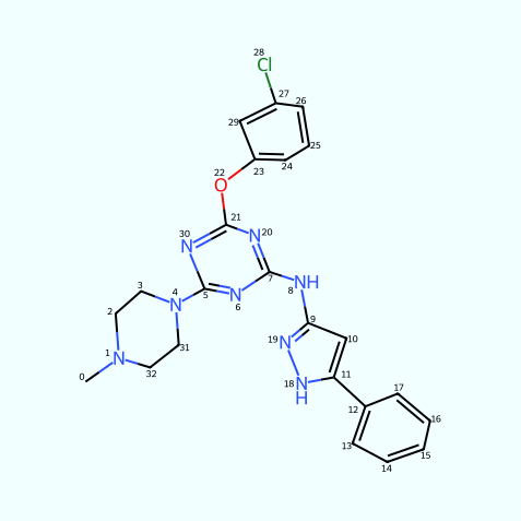 CN1CCN(c2nc(Nc3cc(-c4ccccc4)[nH]n3)nc(Oc3cccc(Cl)c3)n2)CC1